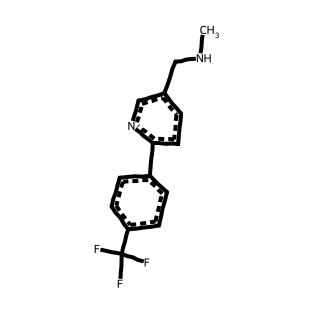 CNCc1ccc(-c2ccc(C(F)(F)F)cc2)nc1